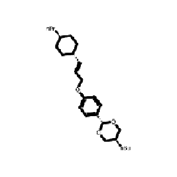 CCCC[C@H]1CO[C@H](c2ccc(OC/C=C/[C@H]3CC[C@H](CCC)CC3)cc2)OC1